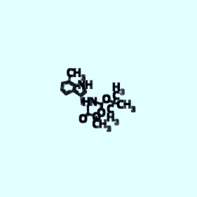 COC(=O)[C@H](Cc1c[nH]c2c(C)cccc12)NC(=O)OC(C)(C)C